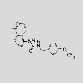 Cc1nccc2c(NC(=O)NCc3ccc(OC(F)(F)F)cc3)cccc12